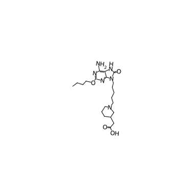 CCCCOc1nc(N)c2[nH]c(=O)n(CCCCCN3CCCC(CC(=O)O)C3)c2n1